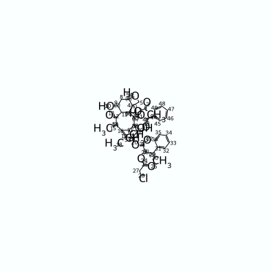 CC(=O)O[C@@]12CO[C@@H]1C[C@H](O)C1C(=O)[C@H](C)C3=C(C)[C@@H](OC(=O)[C@H](OC(=O)CCl)[C@@H](C)c4ccccc4)C[C@@](O)([C@@H](OC(=O)c4ccccc4)[C@@H]12)C3(C)C